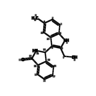 Cc1ccc2[nH]c(CO)c(C3NC(=O)c4ccccc43)c2c1